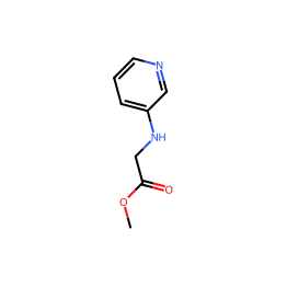 COC(=O)CNc1cccnc1